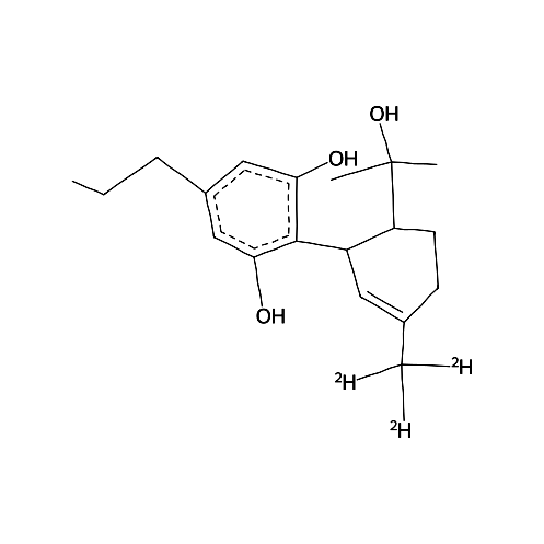 [2H]C([2H])([2H])C1=CC(c2c(O)cc(CCC)cc2O)C(C(C)(C)O)CC1